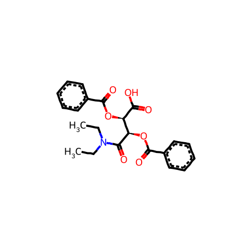 CCN(CC)C(=O)[C@H](OC(=O)c1ccccc1)[C@@H](OC(=O)c1ccccc1)C(=O)O